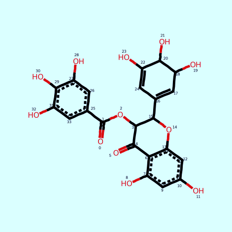 O=C(OC1C(=O)c2c(O)cc(O)cc2OC1C1=CC(O)C(O)C(O)=C1)c1cc(O)c(O)c(O)c1